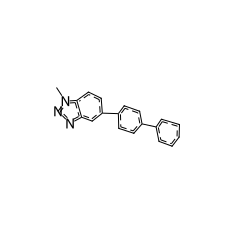 Cn1nnc2cc(-c3ccc(-c4ccccc4)cc3)ccc21